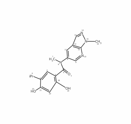 CC(C)c1cc(C(=O)N(C)c2cnc3c(cnn3C)c2)c(O)cc1O